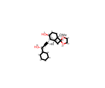 CO[C@@]12CC[C@H](O)[C@@H](C#C[C@@H](O)C3CCCCC3)[C@@H]1CC21OCCO1